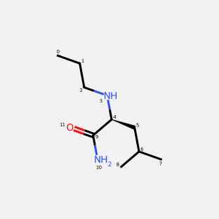 CCCN[C@@H](CC(C)C)C(N)=O